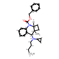 C[C@]12CC[C@H]1N(C(=O)OCc1ccccc1)c1ccccc1[C@@H]2N(CCCC(=O)O)C1CC1